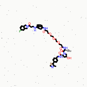 Cc1ncsc1-c1ccc(CNC(=O)[C@@H]2C[C@@H](O)CN2C(=O)[C@@H](NC(=O)CCOCCOCCOCCC(=O)NC23CC4CC(C2)C(NCCC(=O)N2Cc5ccc(F)cc5C2)(C4)C3)C(C)(C)C)cc1